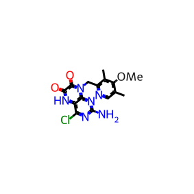 COc1c(C)cnc(Cn2c(=O)c(=O)[nH]c3c(Cl)nc(N)nc32)c1C